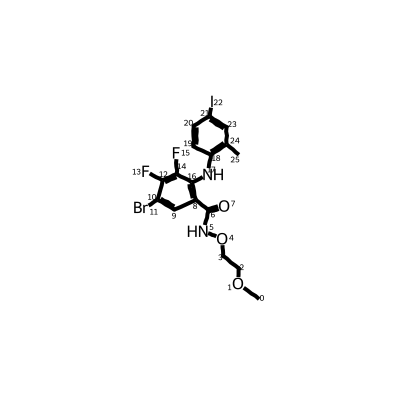 COCCONC(=O)c1cc(Br)c(F)c(F)c1Nc1ccc(I)cc1C